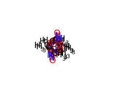 CC(C)C[C@H]1C(=O)O[C@H](Cc2ccc(Cn3cc(N4CCOCC4)cn3)cc2)C(=O)N(C)[C@@H](CC(C)C)C(=O)O[C@H](C)C(=O)N(C)[C@@H](CC(C)C)C(=O)O[C@H](Cc2ccc(Cn3cc(N4CCOCC4)cn3)cc2)C(=O)N(C)[C@@H](CC(C)C)C(=O)O[C@H](C)C(=O)N1C